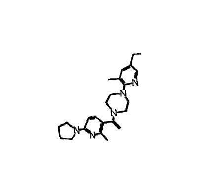 C=C(c1ccc(N2CCCC2)nc1C)N1CCN(c2ncc(CC)cc2C)CC1